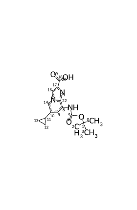 CC(C)(C)OC(=O)Nc1cc(C2CC2)cn2cc(C(=O)O)nc12